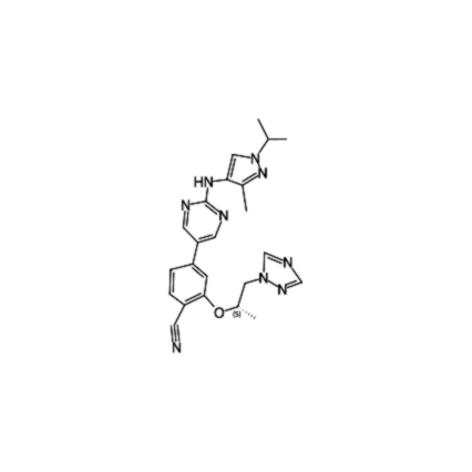 Cc1nn(C(C)C)cc1Nc1ncc(-c2ccc(C#N)c(O[C@@H](C)Cn3cncn3)c2)cn1